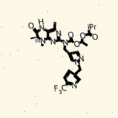 Cc1nc(N(Cc2cnn(Cc3ccc(C(F)(F)F)nc3)c2)C(=O)OC(C)OC(=O)C(C)C)nc2c1NC(=O)[C@H](C)N2C